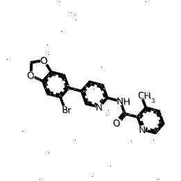 Cc1cccnc1C(=O)Nc1ccc(-c2cc3c(cc2Br)OCO3)cn1